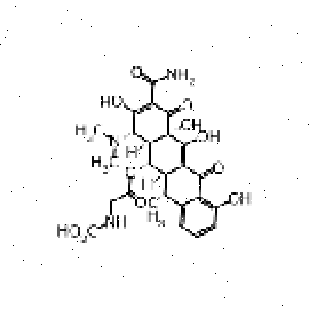 C[C@H]1c2cccc(O)c2C(=O)C2=C(O)[C@]3(O)C(=O)C(C(N)=O)=C(O)[C@@H](N(C)C)[C@@H]3[C@@H](OC(=O)CNC(=O)O)[C@@H]21